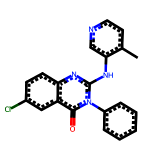 Cc1ccncc1Nc1nc2ccc(Cl)cc2c(=O)n1-c1ccccc1